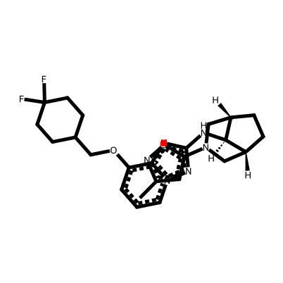 Cc1cc(N2C[C@H]3CC[C@@H](C2)[C@@H]3Nc2nc3c(OCC4CCC(F)(F)CC4)cccn3n2)sn1